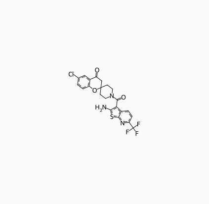 Nc1sc2nc(C(F)(F)F)ccc2c1C(=O)N1CCC2(CC1)CC(=O)c1cc(Cl)ccc1O2